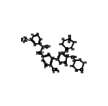 Cc1ncc(NC(=O)c2cccc(C(F)(F)F)c2)cc1-c1cnc(OC2CCOCC2)c(N2CCNCC2)c1